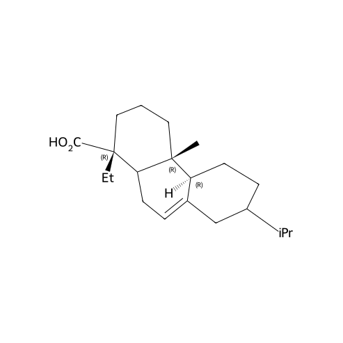 CC[C@@]1(C(=O)O)CCC[C@@]2(C)C1CC=C1CC(C(C)C)CC[C@@H]12